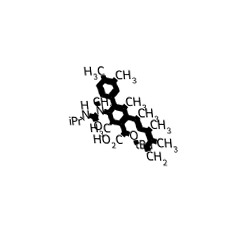 C=C/C(C)=C(C)\C=C(/C)C1=C(C(OC(C)(C)C)C(=O)O)[C@@H](C)C(N(C)C(=O)NC(C)C)C(c2ccc(C)c(C)c2)=C1C